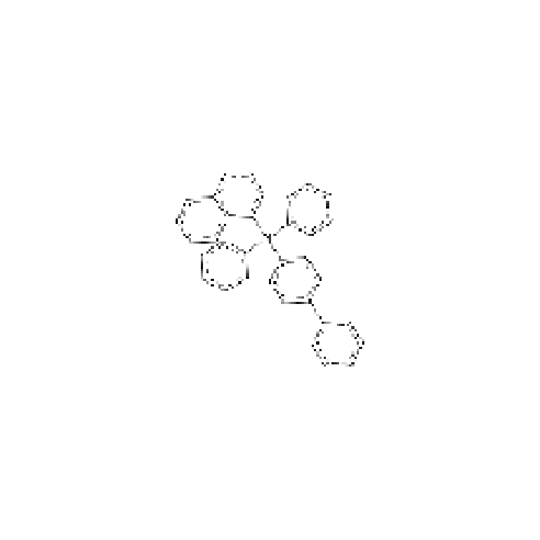 c1ccc(-c2ccc([N+](c3ccccc3)(c3ccccc3)c3cccc4ccccc34)cc2)cc1